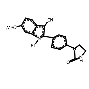 CCn1c(-c2ccc(N3CCNC3=O)cc2)c(C#N)c2ccc(OC)cc21